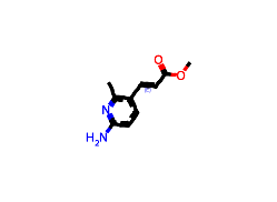 COC(=O)/C=C/c1ccc(N)nc1C